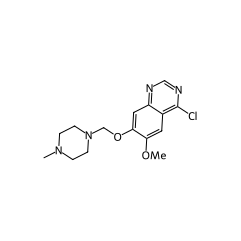 COc1cc2c(Cl)ncnc2cc1OCN1CCN(C)CC1